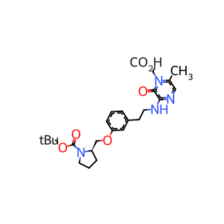 Cc1cnc(NCCc2cccc(OC[C@H]3CCCN3C(=O)OC(C)(C)C)c2)c(=O)n1CC(=O)O